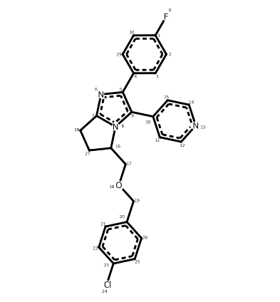 Fc1ccc(-c2nc3n(c2-c2ccncc2)C(COCc2ccc(Cl)cc2)CC3)cc1